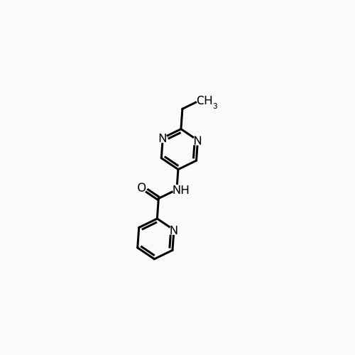 CCc1ncc(NC(=O)c2ccccn2)cn1